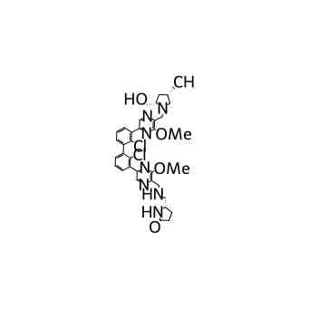 C#C[C@H]1C[C@@H](CO)N(Cc2ncc(-c3cccc(-c4cccc(-c5cnc(CNC[C@@H]6CCC(=O)N6)c(OC)n5)c4Cl)c3Cl)nc2OC)C1